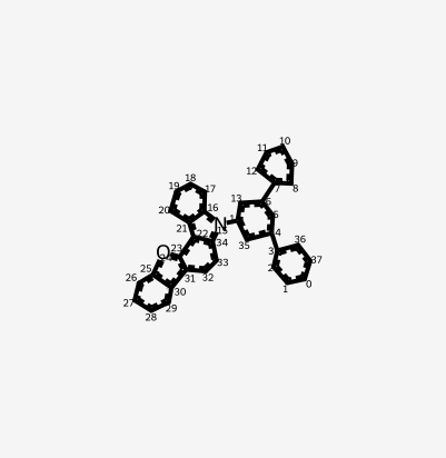 c1ccc(-c2cc(-c3ccccc3)cc(-n3c4ccccc4c4c5oc6ccccc6c5ccc43)c2)cc1